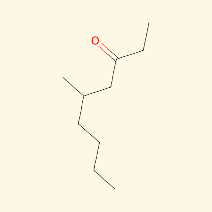 CCCCC(C)CC(=O)CC